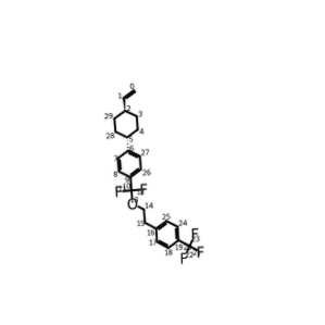 C=C[C@H]1CC[C@H](c2ccc(C(F)(F)OCCc3ccc(C(F)(F)F)cc3)cc2)CC1